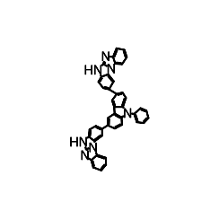 c1ccc(-n2c3ccc(-c4ccc5[nH]c6nc7ccccc7n6c5c4)cc3c3cc(-c4ccc5[nH]c6nc7ccccc7n6c5c4)ccc32)cc1